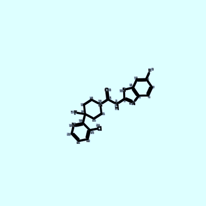 O=C(Nc1nc2ccc(F)cc2s1)N1CCC(F)(c2ncccc2Cl)CC1